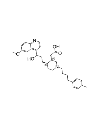 COc1ccc2nccc(C(O)CC[C@@H]3CCN(CCCCc4ccc(C)cc4)C[C@@H]3CC(=O)O)c2c1